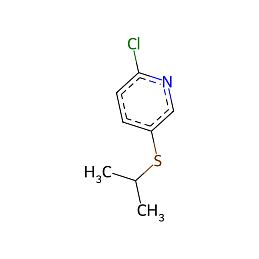 CC(C)Sc1ccc(Cl)nc1